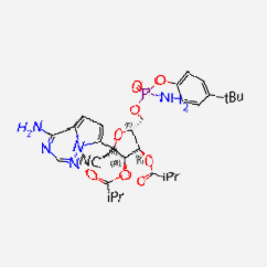 CC(C)C(=O)O[C@H]1[C@@H](OC(=O)C(C)C)[C@](C#N)(c2ccc3c(N)ncnn23)O[C@@H]1COP(N)(=O)Oc1ccc(C(C)(C)C)cc1